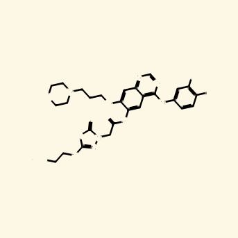 O=C(O)CCSc1nn(CC(=O)Nc2cc3c(Nc4ccc(F)c(Cl)c4)ncnc3cc2OCCCN2CCOCC2)c(=S)s1